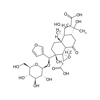 CC(C)(O)[C@@H]1CC(=O)[C@]2(C)[C@H](CC[C@@](C)([C@@H](O[C@@H]3O[C@H](CO)[C@@H](O)[C@H](O)[C@H]3O)c3ccoc3)[C@@]23O[C@@H]3C(=O)O)[C@@]1(C)[C@H](O)CC(=O)O